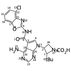 CC(C)(C)C1C(n2cc(C(=O)Nc3nc4c(Cl)cccc4o3)c3c(N)ncnc32)CN1C(=O)O